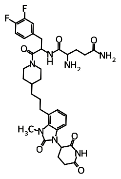 Cn1c(=O)n(C2CCC(=O)NC2=O)c2cccc(CCCC3CCN(C(=O)C(Cc4ccc(F)c(F)c4)NC(=O)C(N)CCC(N)=O)CC3)c21